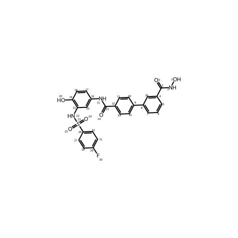 O=C(NO)c1cccc(-c2ccc(C(=O)Nc3ccc(O)c(NS(=O)(=O)c4ccc(F)cc4)c3)cc2)c1